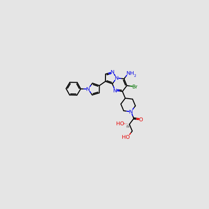 Nc1c(Br)c(C2CCN(C(=O)[C@@H](O)CO)CC2)nc2c(-c3ccn(-c4ccccc4)c3)cnn12